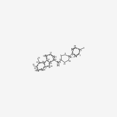 Cc1cnc(N2CCC(Nc3ncnc4c3sc3nnc(C)c(C)c34)CC2)nc1